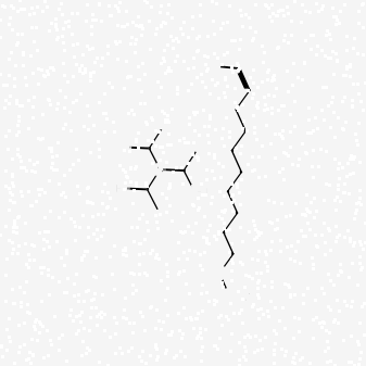 CC(O)N(C(C)O)C(C)O.CCCCCCCC/C=C\CCCCCCCCOS(=O)(=O)O